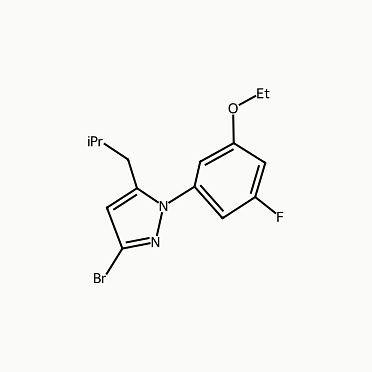 CCOc1cc(F)cc(-n2nc(Br)cc2CC(C)C)c1